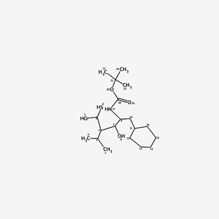 CC(C)C(C(O)S)C(O)C(CC1CCCCC1)NC(=O)OC(C)(C)C